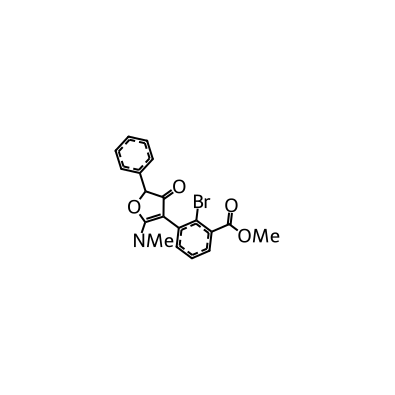 CNC1=C(c2cccc(C(=O)OC)c2Br)C(=O)C(c2ccccc2)O1